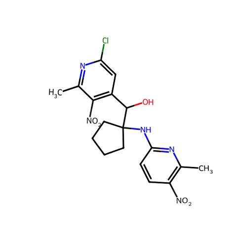 Cc1nc(NC2(C(O)c3cc(Cl)nc(C)c3[N+](=O)[O-])CCCC2)ccc1[N+](=O)[O-]